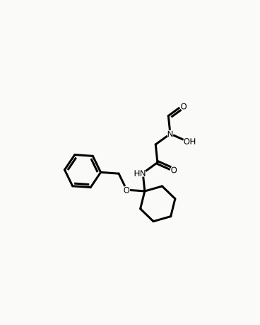 O=CN(O)CC(=O)NC1(OCc2ccccc2)CCCCC1